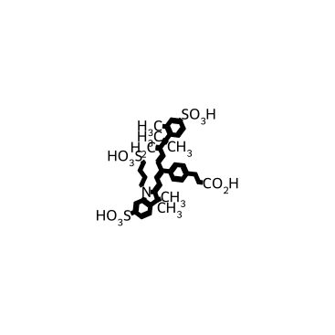 C=C(/C=C/C(=C/C=C1\N(CCCCS(=O)(=O)O)c2cc(S(=O)(=O)O)ccc2C1(C)C)c1ccc(CCC(=O)O)cc1)C(C)(C)c1ccc(S(=O)(=O)O)cc1C